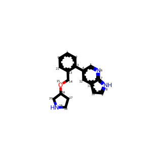 c1ccc(-c2cnc3[nH]ccc3c2)c(COC2CCNC2)c1